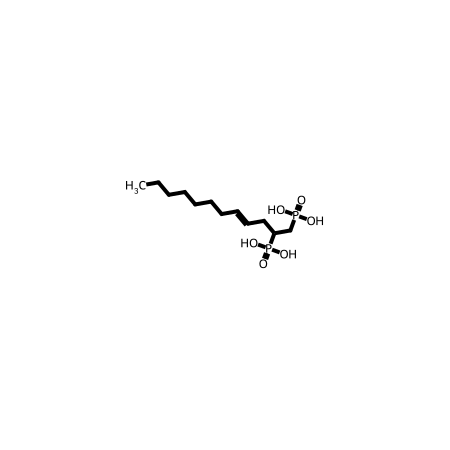 CCCCCCCC=CCC(CP(=O)(O)O)P(=O)(O)O